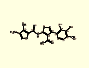 Cc1csc(C(=O)Nc2scc(-c3ccc(C)c(F)c3F)c2C(=O)O)c1O